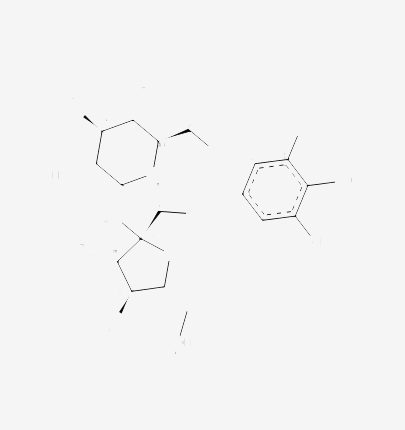 Clc1cccc(Cl)c1Cl.OC[C@H]1O[C@@](CO)(O[C@H]2O[C@H](CO)[C@@H](O)[C@H](O)[C@H]2O)[C@@H](O)[C@@H]1O